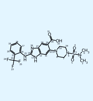 CN(C)S(=O)(=O)N1CCN(c2cc3[nH]c(Nc4ccccc4C(F)(F)F)nc3cc2C(=O)O)CC1